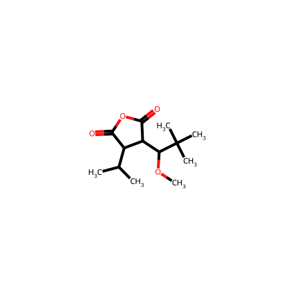 COC(C1C(=O)OC(=O)C1C(C)C)C(C)(C)C